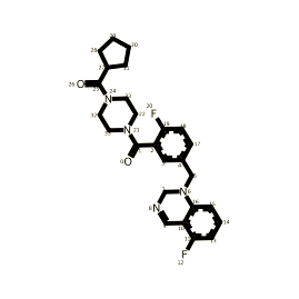 O=C(c1cc(CN2CN=Cc3c(F)cccc32)ccc1F)N1CCN(C(=O)C2CCCC2)CC1